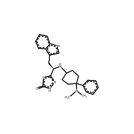 CN(C)C1(c2ccccc2)CCC(N[C@H](Cc2c[nH]c3ccccc23)c2n[nH]c(=O)o2)CC1